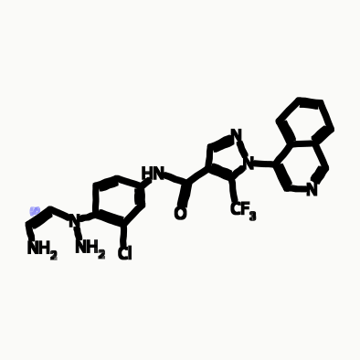 N/C=C\N(N)c1ccc(NC(=O)c2cnn(-c3cncc4ccccc34)c2C(F)(F)F)cc1Cl